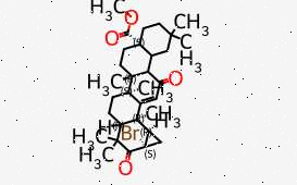 COC(=O)[C@]12CCC(C)(C)CC1C1C(=O)C=C3[C@@]4(C)[C@H]5C[C@@]5(Br)C(=O)C(C)(C)[C@@H]4CC[C@@]3(C)[C@]1(C)CC2